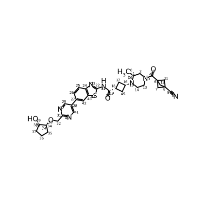 C[C@H]1CN(C(=O)C23CC(C#N)(C2)C3)CCN1[C@H]1C[C@@H](C(=O)Nc2nc3ccc(-c4cnc(CO[C@H]5CCC[C@@H]5O)nc4)cc3s2)C1